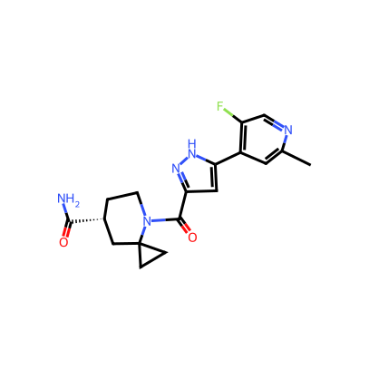 Cc1cc(-c2cc(C(=O)N3CC[C@@H](C(N)=O)CC34CC4)n[nH]2)c(F)cn1